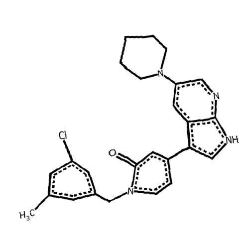 Cc1cc(Cl)cc(Cn2ccc(-c3c[nH]c4ncc(N5CCCCC5)cc34)cc2=O)c1